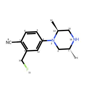 C[C@@H]1CN(c2ccc(C#N)c(CF)c2)[C@@H](C)CN1